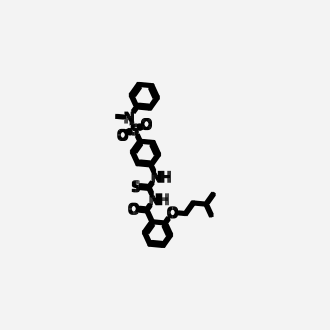 CC(C)CCOc1ccccc1C(=O)NC(=S)Nc1ccc(S(=O)(=O)N(C)c2ccccc2)cc1